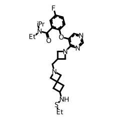 CCSNC1CC2(C1)CN(CC1CN(c3ncncc3Oc3ccc(F)cc3C(=O)N(CC)C(C)C)C1)C2